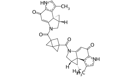 Cc1c[nH]c2c1[C@]13C(=CC2=O)N(C(=O)C24CC5(C(=O)N6C[C@H]7C[C@@]78C6=CC(=O)c6[nH]cc(C)c68)CC25C4)C[C@H]1[C@H]3C